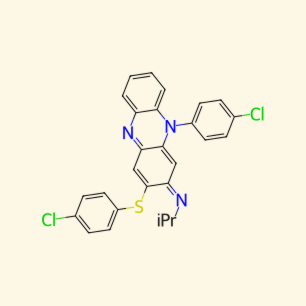 CC(C)N=c1cc2n(-c3ccc(Cl)cc3)c3ccccc3nc-2cc1Sc1ccc(Cl)cc1